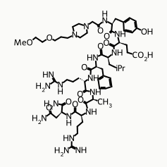 COCCOCCCN1CCN(CC(=O)N[C@@H](Cc2ccc(O)cc2)C(=O)N[C@@H](CCC(=O)O)C(=O)N[C@@H](CC(C)C)C(=O)N[C@@H](Cc2ccccc2)C(=O)N[C@@H](CCCNC(=N)N)C(=O)N[C@@H](C)C(=O)N[C@@H](CCCNC(=N)N)C(=O)N[C@@H](CC(N)=O)C(N)=O)CC1